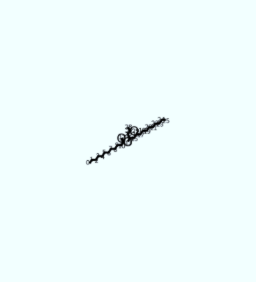 CCCCCCCCCCCC(=O)OC(CCCCCCCCCCC)CC(C)=O